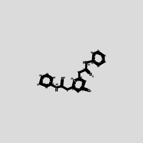 O=C(Cc1cc(=O)cc(CC(=O)Nc2ccccc2)o1)Nc1ccccc1